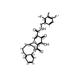 Cc1c(F)ccc(CNC(=O)c2cn3c(c(O)c2=O)C(=O)N2CC3CCCc3ccccc32)c1F